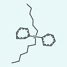 CCCCCC[Si](CCCCCC)(c1ccccc1)c1ccccc1